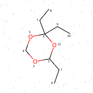 CCC1OCOC(CC)(CC)O1